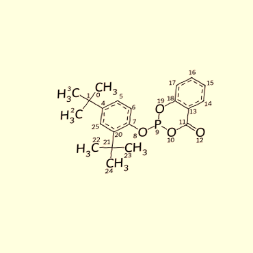 CC(C)(C)c1ccc(OP2OC(=O)c3ccccc3O2)c(C(C)(C)C)c1